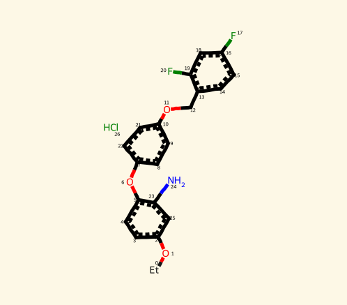 CCOc1ccc(Oc2ccc(OCc3ccc(F)cc3F)cc2)c(N)c1.Cl